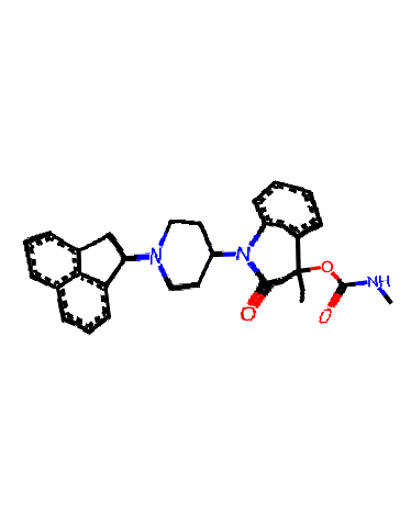 CNC(=O)OC1(C)C(=O)N(C2CCN(C3Cc4cccc5cccc3c45)CC2)c2ccccc21